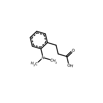 CN(C)c1ccccc1CCC(=O)O